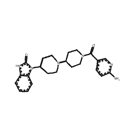 Nc1ccc(C(=O)N2CCC(N3CCC(n4c(=O)[nH]c5ccccc54)CC3)CC2)cn1